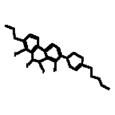 CCCCCC1=CCC(c2ccc3c(c2F)C(F)C(F)c2c-3ccc(CCC)c2F)CC1